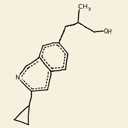 CC(CO)Cc1ccc2cc(C3CC3)ncc2c1